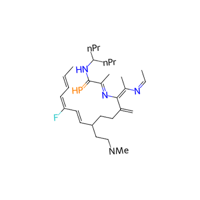 C=C(CCC(/C=C/C(F)=C\C=C\C)CCNC)C(/N=C(\C)C(=P)NC(CCC)CCC)=C(C)\N=C/C